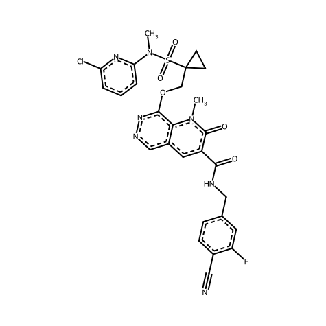 CN(c1cccc(Cl)n1)S(=O)(=O)C1(COc2nncc3cc(C(=O)NCc4ccc(C#N)c(F)c4)c(=O)n(C)c23)CC1